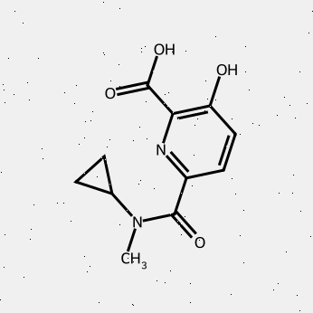 CN(C(=O)c1ccc(O)c(C(=O)O)n1)C1CC1